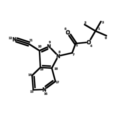 CC(C)(C)OC(=O)Cn1nc(C#N)c2ccncc21